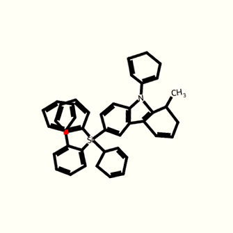 CC1CC=Cc2c1n(C1=CCCC=C1)c1ccc([Si](c3ccccc3)(c3ccccc3-c3ccccc3)C3C=CC=CC3)cc21